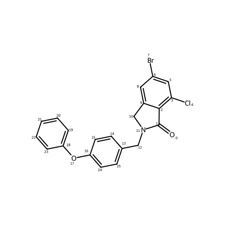 O=C1c2c(Cl)cc(Br)cc2CN1Cc1ccc(Oc2ccccc2)cc1